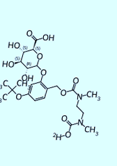 [2H]OC(=O)N(C)CCN(C)C(=O)OCc1ccc(OC(C)(C)C)cc1OC1O[C@H](C(=O)O)[C@@H](O)[C@H](O)[C@H]1O